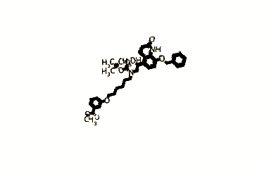 COC(=O)c1cccc(OCCCCCCN(CC(O)c2ccc(OCc3ccccc3)c3[nH]c(=O)ccc23)C(=O)OC(C)(C)C)c1